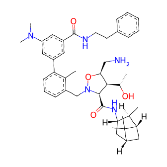 Cc1c(CN2O[C@@H](CN)[C@@H]([C@H](C)O)[C@H]2C(=O)N[C@H]2C[C@H]3C[C@@H]([C@@H]2C)C3(C)C)cccc1-c1cc(C(=O)NCCc2ccccc2)cc(N(C)C)c1